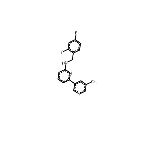 Fc1ccc(CNc2cccc(-c3cncc(C(F)(F)F)c3)n2)c(F)c1